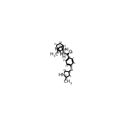 CC1CC(Sc2ccc(C(=O)N[C@@H]3C4CCN(CC4)[C@H]3C)cc2)CN1